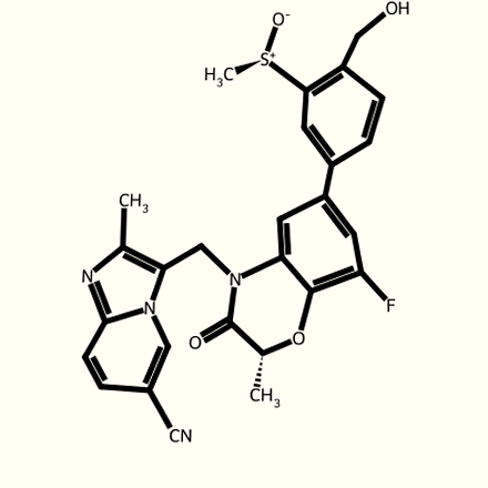 Cc1nc2ccc(C#N)cn2c1CN1C(=O)[C@@H](C)Oc2c(F)cc(-c3ccc(CO)c([S@@+](C)[O-])c3)cc21